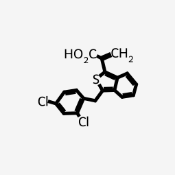 C=C(C(=O)O)c1sc(Cc2ccc(Cl)cc2Cl)c2ccccc12